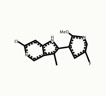 COc1ncc(F)cc1-c1[nH]c2cc(Cl)ncc2c1C